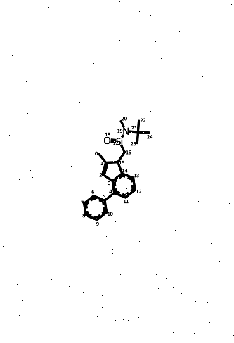 CC1=Cc2c(-c3ccccc3)cccc2C1C[Si](=O)N(C)C(C)(C)C